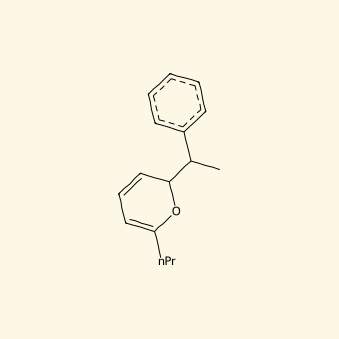 CCCC1=CC=CC(C(C)c2ccccc2)O1